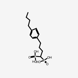 CCCCc1ccc(CCCC(P(=O)(O)O)P(=O)(O)O)cc1